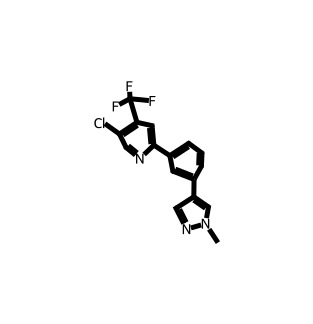 Cn1cc(-c2cccc(-c3cc(C(F)(F)F)c(Cl)cn3)c2)cn1